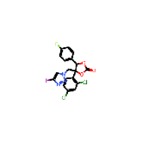 O=C1OC(c2ccc(F)cc2)C(Cn2cc(I)nn2)(c2ccc(Cl)cc2Cl)O1